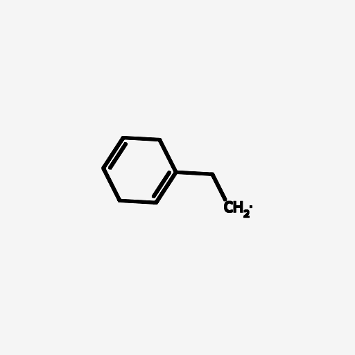 [CH2]CC1=CCC=CC1